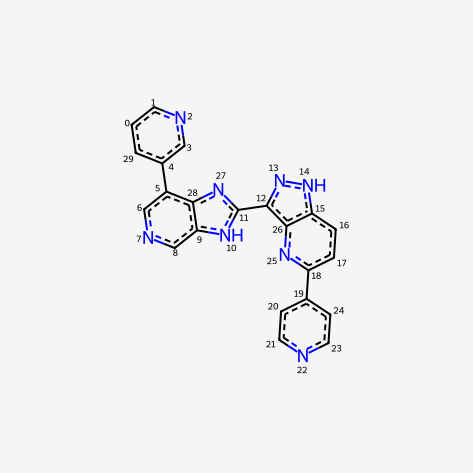 c1cncc(-c2cncc3[nH]c(-c4n[nH]c5ccc(-c6ccncc6)nc45)nc23)c1